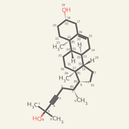 C[C@H](CC#CC(C)(C)O)[C@H]1CC[C@H]2[C@@H]3CC=C4C[C@@H](O)CC[C@]4(C)[C@H]3CC[C@]12C